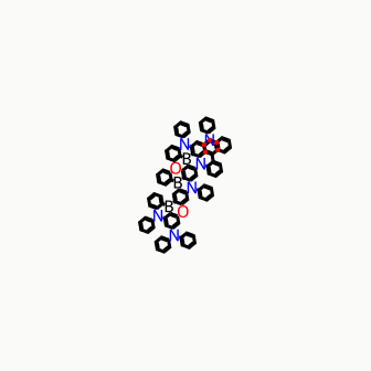 c1ccc(-c2ccccc2N2c3cc(N(c4ccccc4)c4ccccc4)cc4c3B(c3ccccc3N4c3ccccc3)c3c2cc2c4c3Oc3ccccc3B4c3cc4c(cc3N2c2ccccc2)Oc2cc(N(c3ccccc3)c3ccccc3)cc3c2B4c2ccccc2N3c2ccccc2)cc1